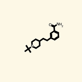 CC(C)(C)N1CCC(CCc2cccc(C(N)=O)c2)CC1